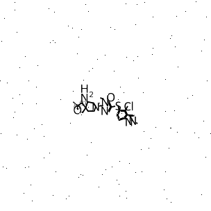 C[C@@H]1OCC2(CCN(c3ncc(Sc4ccc5nn(C)cc5c4Cl)c(=O)n3C)CC2)[C@@H]1N